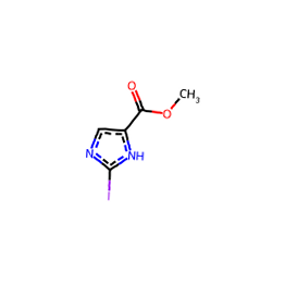 COC(=O)c1cnc(I)[nH]1